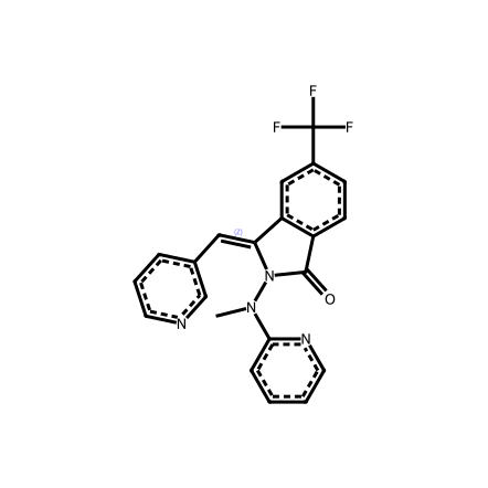 CN(c1ccccn1)N1C(=O)c2ccc(C(F)(F)F)cc2/C1=C/c1cccnc1